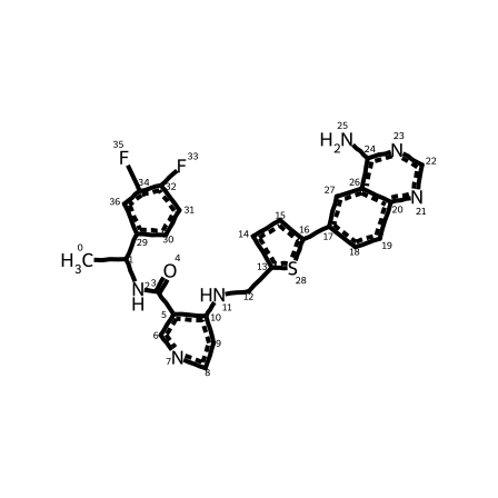 CC(NC(=O)c1cnccc1NCc1ccc(-c2ccc3ncnc(N)c3c2)s1)c1ccc(F)c(F)c1